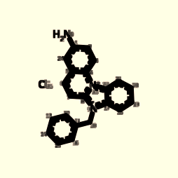 Nc1ccc2c(ccc3n(Cc4ccccc4)c4ccccc4[n+]23)c1.[Cl-]